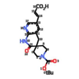 CC(C)(C)OC(=O)N1CCC2(CC1)Cc1cc(/C=C/C(=O)O)cnc1NC2=O